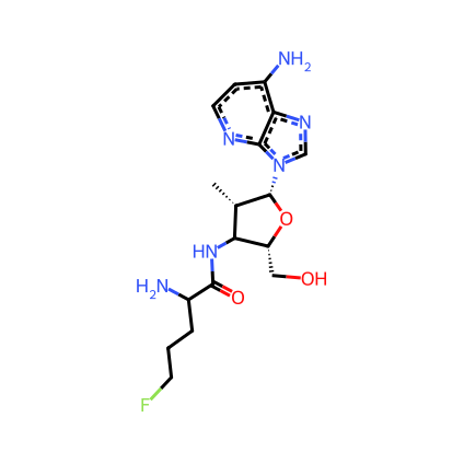 C[C@H]1C(NC(=O)C(N)CCCF)[C@@H](CO)O[C@H]1n1cnc2c(N)ccnc21